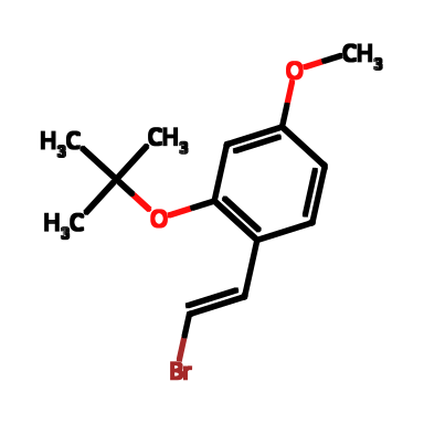 COc1ccc(C=CBr)c(OC(C)(C)C)c1